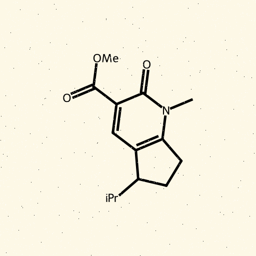 COC(=O)c1cc2c(n(C)c1=O)CCC2C(C)C